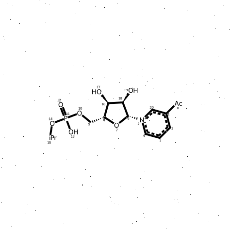 CC(=O)c1ccc[n+]([C@@H]2O[C@H](COP(=O)(O)OC(C)C)[C@@H](O)[C@H]2O)c1